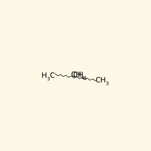 C.C.CCCCCCCCCCCCCCCCCC